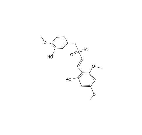 COc1cc(O)c(/C=C/S(=O)(=O)Cc2ccc(OC)c(O)c2)c(OC)c1